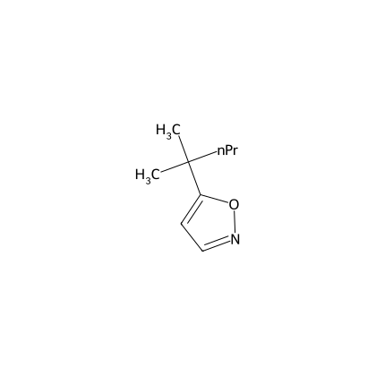 CCCC(C)(C)c1ccno1